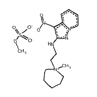 COS(=O)(=O)[O-].C[N+]1(CCNc2nn3ccccc3c2[N+](=O)[O-])CCCCC1